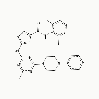 Cc1nc(Nc2ncc(C(=O)Nc3c(C)cccc3C)s2)nc(N2CCN(c3ccncc3)CC2)n1